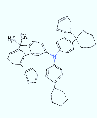 CC1(C)c2ccc(N(c3ccc(C4CCCCC4)cc3)c3ccc(C4(c5ccccc5)CCCCC4)cc3)cc2-c2c(-c3ccccc3)cccc21